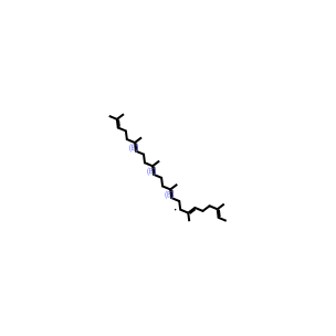 CC=C(C)CCC=C(C)[CH]C/C=C(\C)CC/C=C(\C)CC/C=C(\C)CCC=C(C)C